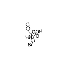 O=C(O)C(=O)c1c(C=Cc2ccc(Cl)cc2)[nH]c2cc(Br)ccc12